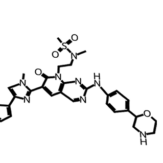 CN(CCn1c(=O)c(-c2nc(-c3cccs3)cn2C)cc2cnc(Nc3ccc(C4CNCCO4)cc3)nc21)S(C)(=O)=O